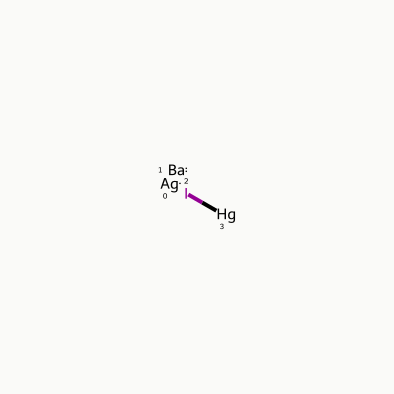 [Ag].[Ba].[I][Hg]